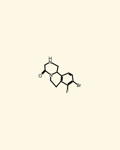 O=C1CNCC2c3ccc(Br)c(F)c3CCN12